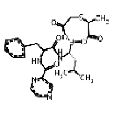 CC(C)C[C@H](NC(=O)C(Cc1ccccc1)NC(=O)c1cnccn1)B1OC(=O)CSC(C)C(=O)O1